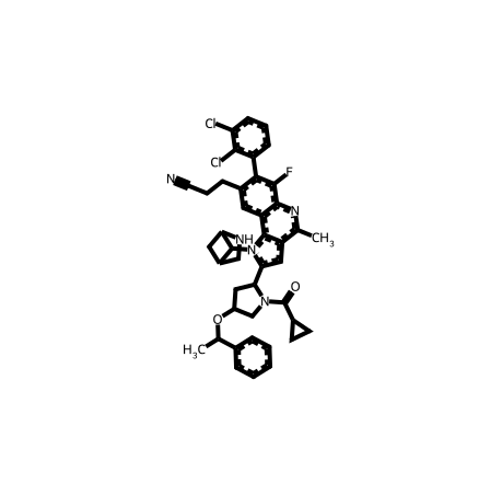 Cc1nc2c(F)c(-c3cccc(Cl)c3Cl)c(CCC#N)cc2c2c1cc(C1CC(OC(C)c3ccccc3)CN1C(=O)C1CC1)n2C1C2CNC1C2